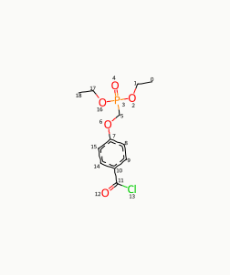 CCOP(=O)(COc1ccc(C(=O)Cl)cc1)OCC